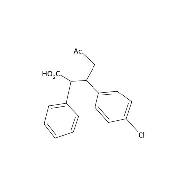 CC(=O)CC(c1ccc(Cl)cc1)C(C(=O)O)c1ccccc1